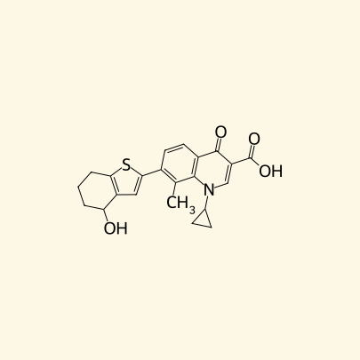 Cc1c(-c2cc3c(s2)CCCC3O)ccc2c(=O)c(C(=O)O)cn(C3CC3)c12